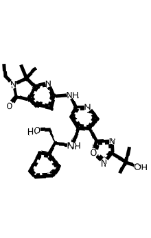 CCN1C(=O)c2ccc(Nc3cc(N[C@H](CO)c4ccccc4)c(-c4nc(C(C)(C)O)no4)cn3)nc2C1(C)C